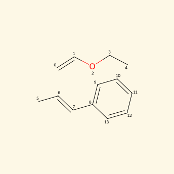 C=COCC.CC=Cc1ccccc1